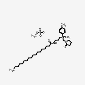 CCCCCCCCCCCCCCCCCC(=O)NCCC[N+](C)(CN1CCCC1=O)c1ccc(C)cc1.COS(=O)(=O)[O-]